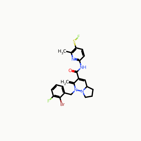 C=C1C(C(=O)Nc2ccc(SF)c(C)n2)=CC2CCCN2N1Cc1cccc(F)c1Br